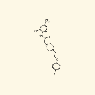 O=C(CN1CCN(CCOc2ccc(F)cc2)CC1)Nc1ncc(C(F)(F)F)cc1Cl